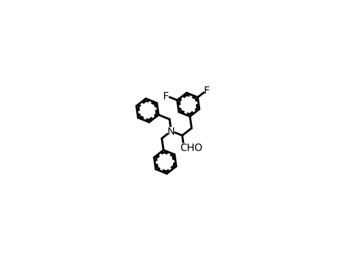 O=CC(Cc1cc(F)cc(F)c1)N(Cc1ccccc1)Cc1ccccc1